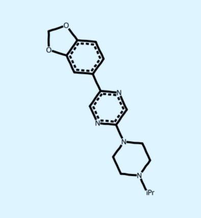 CC(C)N1CCN(c2cnc(-c3ccc4c(c3)OCO4)cn2)CC1